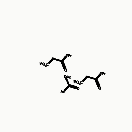 CC(=O)OC(=O)C(C)=O.CCCC(=O)CC(=O)O.CCCC(=O)CC(=O)O